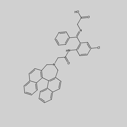 O=C(O)C/N=C(\c1ccccc1)c1cc(Cl)ccc1NC(=O)CN1Cc2ccc3ccccc3c2-c2c(ccc3ccccc23)C1